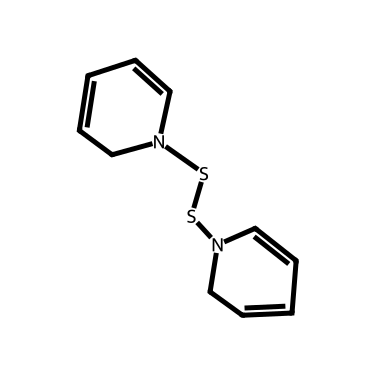 C1=CCN(SSN2C=CC=CC2)C=C1